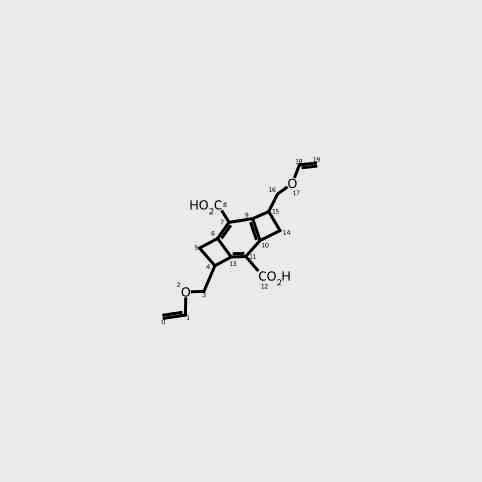 C=COCC1Cc2c(C(=O)O)c3c(c(C(=O)O)c21)CC3COC=C